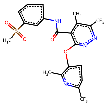 Cc1nc(C(F)(F)F)ccc1Oc1nnc(C(F)(F)F)c(C)c1C(=O)Nc1cccc(S(C)(=O)=O)c1